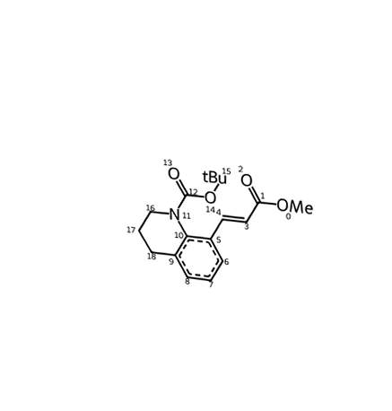 COC(=O)C=Cc1cccc2c1N(C(=O)OC(C)(C)C)CCC2